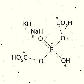 O=C(O)OP(=O)(O)OC(=O)O.[KH].[NaH]